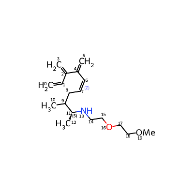 C=CC(=C)C(=C)/C=C\CC(C)[C@H](C)NCCOCCOC